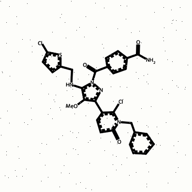 COc1c(-c2ccc(=O)n(Cc3ccccc3)c2Cl)nn(C(=O)c2ccc(C(N)=O)cc2)c1NCc1ccc(Cl)s1